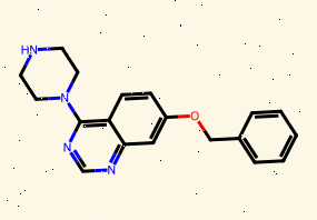 c1ccc(COc2ccc3c(N4CCNCC4)ncnc3c2)cc1